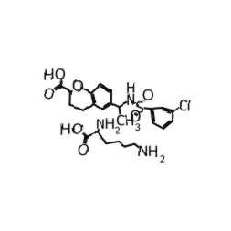 CC(NS(=O)(=O)c1cccc(Cl)c1)c1ccc2c(c1)CCC(C(=O)O)O2.NCCCCC(N)C(=O)O